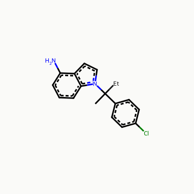 CCC(C)(c1ccc(Cl)cc1)n1ccc2c(N)cccc21